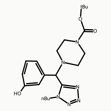 CCCCn1nnnc1C(c1cccc(O)c1)N1CCN(C(=O)OC(C)(C)C)CC1